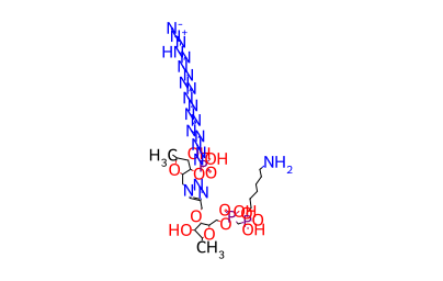 CC1OC(COP(=O)(O)CP(=O)(O)OCCCCCCN)C(OCc2cn(CC3OC(C)C(O)C3OP(=O)(O)/N=N/N=N/N=N/N=N/N=N/N=N/N=N/NN=[N+]=[N-])nn2)C1O